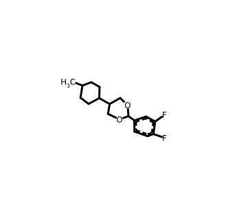 CC1CCC(C2COC(c3ccc(F)c(F)c3)OC2)CC1